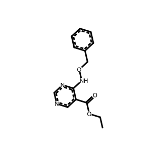 CCOC(=O)c1cncnc1NOCc1ccccc1